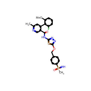 COc1cccc(F)c1-c1cc(C)ncc1C(=O)Nc1nnc(OCc2ccc([S@@](C)(=N)=O)cc2)s1